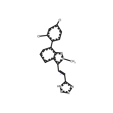 Cn1nc2c(-c3ccc(Cl)cc3Cl)cccc2c1/C=C/c1nnn[nH]1